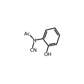 CC(=O)N(C#N)c1ccccc1O